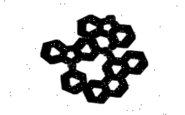 c1ccc(-n2c3ccccc3c3ccc(N(c4cc5c6ccccc6ccc5c5ccccc45)c4cccc5oc6ccccc6c45)cc32)cc1